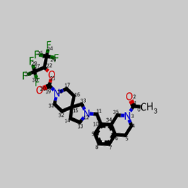 CC(=O)N1CCc2cccc(CN3CCC4(CCN(C(=O)OC(C(F)(F)F)C(F)(F)F)CC4)C3)c2C1